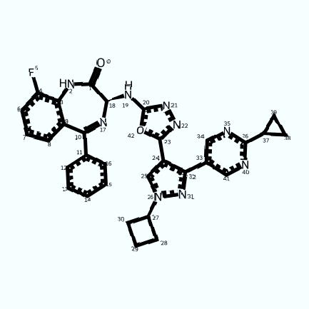 O=C1Nc2c(F)cccc2C(c2ccccc2)=N[C@@H]1Nc1nnc(-c2cn(C3CCC3)nc2-c2cnc(C3CC3)nc2)o1